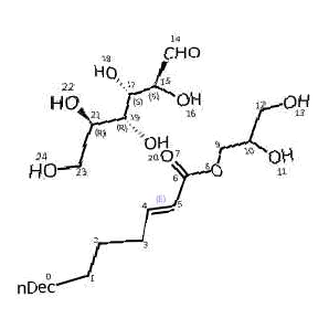 CCCCCCCCCCCCC/C=C/C(=O)OCC(O)CO.O=C[C@@H](O)[C@@H](O)[C@H](O)[C@H](O)CO